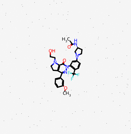 COc1cccc(-c2nn(-c3cc(N4CC[C@@H](NC(C)=O)C4)ccc3C(F)(F)F)c(=O)c3c2CCN3CCO)c1